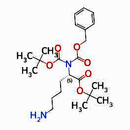 CC(C)(C)OC(=O)[C@H](CCCCN)N(C(=O)OCc1ccccc1)C(=O)OC(C)(C)C